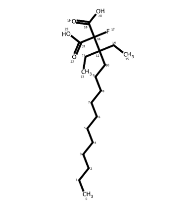 CCCCCCCCCCCC(CC)(CC)C(F)(C(=O)O)C(=O)O